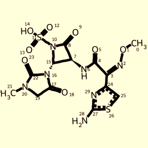 CO/N=C(\C(=O)N[C@@H]1C(=O)N(S(=O)(=O)O)[C@H]1N1C(=O)CN(C)C1=O)c1csc(N)n1